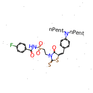 CCCCCN(CCCCC)c1ccc(C=C2SC(=S)N(CCS(=O)(=O)NC(=O)c3ccc(F)cc3)C2=O)cc1